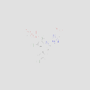 CC(=O)O.CC(=O)O.CC(=O)O.Clc1ccc(CSC(Cn2cncn2)=Nc2ccc(Cl)cc2Cl)cc1